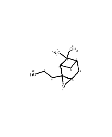 CC1(C)C2CC3OC3(CCO)C1C2